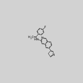 C=C(Nc1cc2cc(C3=CN=CC3)ccc2cn1)c1ccc(F)cc1